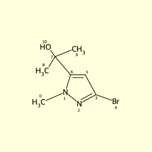 Cn1nc(Br)cc1C(C)(C)O